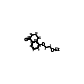 CCOCCOc1cccc2c1CCCC2=O